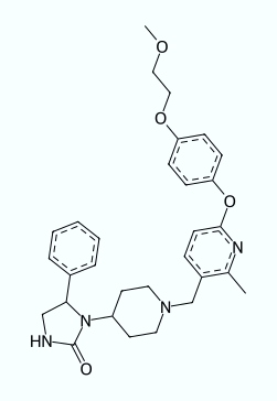 COCCOc1ccc(Oc2ccc(CN3CCC(N4C(=O)NCC4c4ccccc4)CC3)c(C)n2)cc1